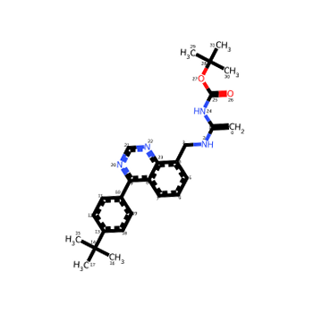 C=C(NCc1cccc2c(-c3ccc(C(C)(C)C)cc3)ncnc12)NC(=O)OC(C)(C)C